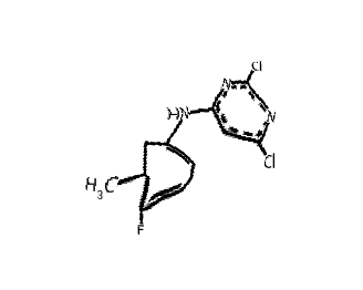 CC1CC(Nc2cc(Cl)nc(Cl)n2)=CC=C1F